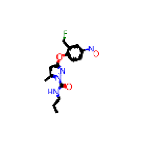 CCCNC(=O)n1nc(Oc2ccc(N=O)cc2CF)cc1C